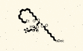 CC/C=C\C/C=C\C/C=C\C/C=C\CCCCC(=O)O[C@H](COC(=O)CCCCCCCCCCCCCCCCC)COP(=O)(O)OCC[N+](C)(C)C